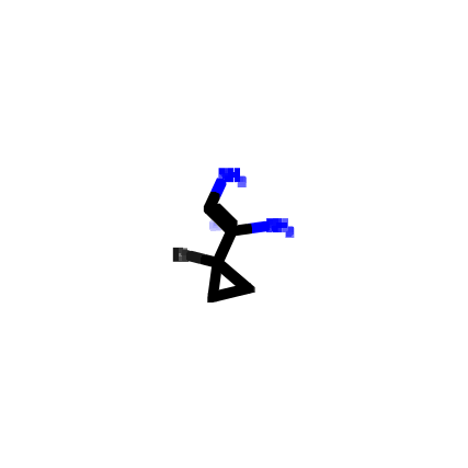 CCC1(/C(N)=C/N)CC1